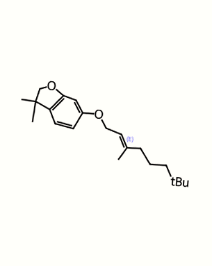 C/C(=C\COc1ccc2c(c1)OCC2(C)C)CCCC(C)(C)C